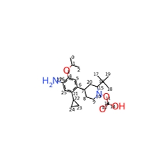 CC(C)Oc1cc(C2CCN(OC(=O)O)C(C(C)(C)C)C2)c(C2CC2)cc1N